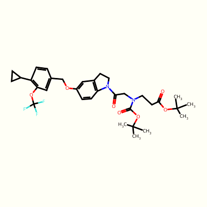 CC(C)(C)OC(=O)CCN(CC(=O)N1CCc2cc(OCc3ccc(C4CC4)c(OC(F)(F)F)c3)ccc21)C(=O)OC(C)(C)C